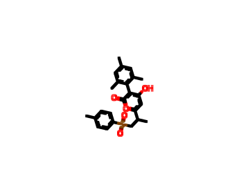 Cc1ccc(S(=O)(=O)CC(C)c2cc(O)c(-c3c(C)cc(C)cc3C)c(=O)o2)cc1